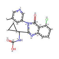 Cc1cncc(-n2c(C(NC(=O)O)C3CC3)nc3cccc(Cl)c3c2=O)c1